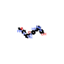 C=CC(=O)N[C@@H]1CCCN(Cc2ccnc(C(=O)Nc3ccc(-c4cc5c(N6CCC(C)(O)CC6)ncnc5[nH]4)cc3)c2)C1